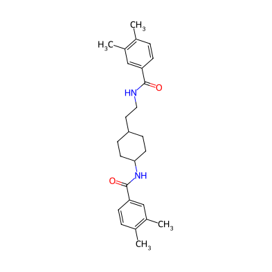 Cc1ccc(C(=O)NCCC2CCC(NC(=O)c3ccc(C)c(C)c3)CC2)cc1C